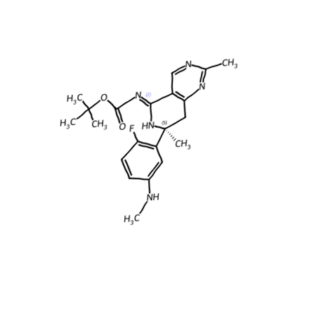 CNc1ccc(F)c([C@]2(C)Cc3nc(C)ncc3/C(=N/C(=O)OC(C)(C)C)N2)c1